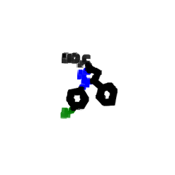 CCOC(=O)C1=NN(c2ccc(Br)cc2)C(c2ccccc2)C1